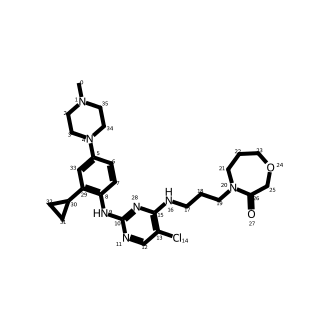 CN1CCN(c2ccc(Nc3ncc(Cl)c(NCCCN4CCCOCC4=O)n3)c(C3CC3)c2)CC1